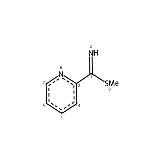 CSC(=N)c1[c]cccn1